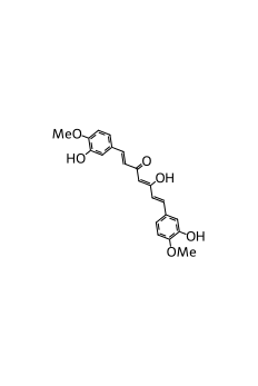 COc1ccc(C=CC(=O)C=C(O)C=Cc2ccc(OC)c(O)c2)cc1O